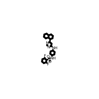 O=S(=O)(Nc1ccc(Nc2cc(-c3cccc4ccccc34)ncn2)cc1)c1c(F)cccc1F